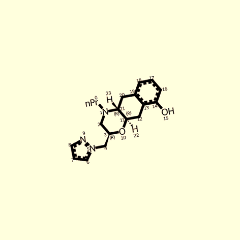 CCCN1C[C@H](Cn2cccn2)O[C@@H]2Cc3c(O)cccc3C[C@H]21